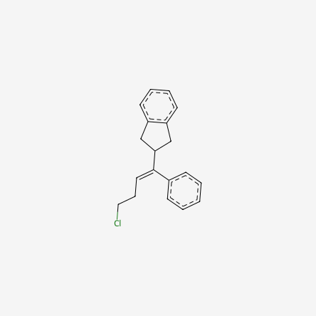 ClCCC=C(c1ccccc1)C1Cc2ccccc2C1